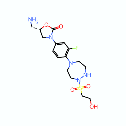 NC[C@H]1CN(c2ccc(N3CCNN(S(=O)(=O)CCO)CC3)c(F)c2)C(=O)O1